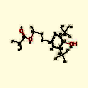 C=C(C)C(=O)OC(C)CCc1cc(C(C)(C)C)c(O)c(C(C)(C)C)c1